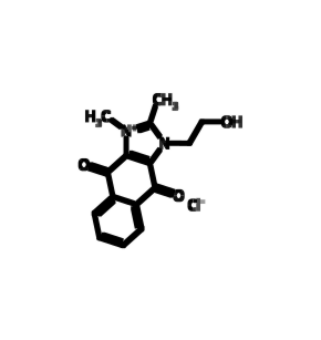 Cc1n(CCO)c2c([n+]1C)C(=O)c1ccccc1C2=O.[Cl-]